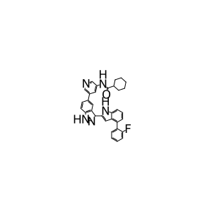 O=C(Nc1cncc(-c2ccc3[nH]nc(-c4cc5c(-c6ccccc6F)cccc5[nH]4)c3c2)c1)C1CCCCC1